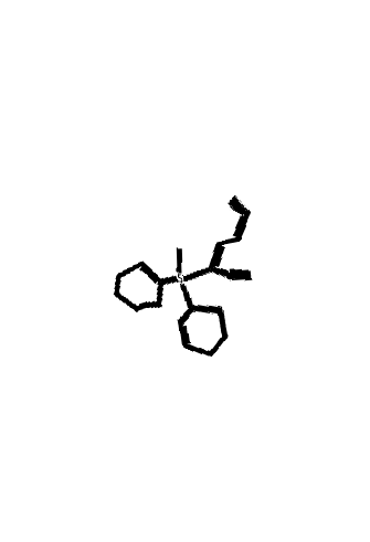 C=C/C(=C\C=C/C)S(C)(C1=CCCCC1)C1C=CCCC1